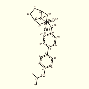 CC(C)Oc1ccc(-c2ccc(OC3CC4CCC(C3)N4C(=O)O)nc2)cc1